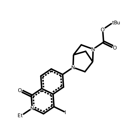 CCn1cc(I)c2cc(N3CC4CC3CN4C(=O)OC(C)(C)C)ccc2c1=O